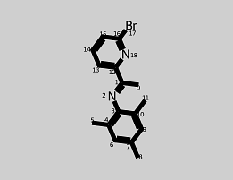 CC(=Nc1c(C)cc(C)cc1C)c1cccc(Br)n1